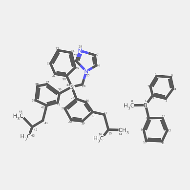 CB(c1ccccc1)c1ccccc1.CC(C)Cc1cccc([Si](Cn2ccnc2)(c2ccccc2)c2cccc(CC(C)C)c2)c1